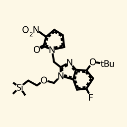 CC(C)(C)Oc1cc(F)cc2c1nc(Cn1cccc([N+](=O)[O-])c1=O)n2COCC[Si](C)(C)C